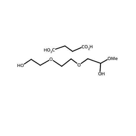 COC(O)COCCOCCO.O=C(O)CCC(=O)O